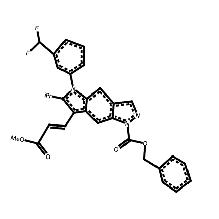 COC(=O)/C=C/c1c(C(C)C)n(-c2cccc(C(F)F)c2)c2cc3cnn(C(=O)OCc4ccccc4)c3cc12